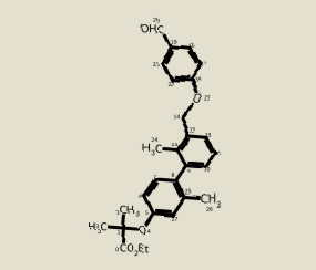 CCOC(=O)C(C)(C)Oc1ccc(-c2cccc(COc3ccc(C=O)cc3)c2C)c(C)c1